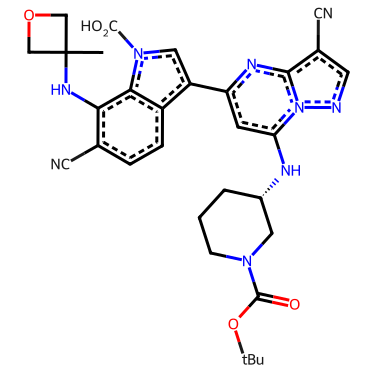 CC1(Nc2c(C#N)ccc3c(-c4cc(N[C@H]5CCCN(C(=O)OC(C)(C)C)C5)n5ncc(C#N)c5n4)cn(C(=O)O)c23)COC1